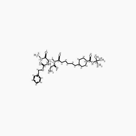 COC(=O)[C@H](CN(C(=O)CN)C(=O)CCCCCC1CCN(C(=O)OC(C)(C)C)CC1)NC(=O)OCc1ccccc1